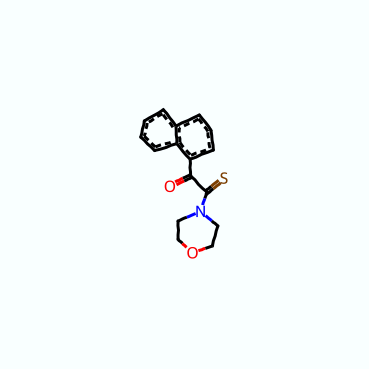 O=C(C(=S)N1CCOCC1)c1cccc2ccccc12